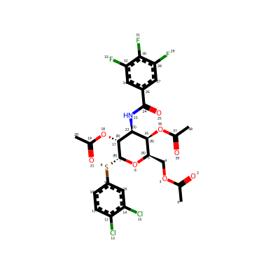 CC(=O)OC[C@H]1O[C@H](Sc2ccc(Cl)c(Cl)c2)[C@H](OC(C)=O)[C@@H](NC(=O)c2cc(F)c(F)c(F)c2)[C@H]1OC(C)=O